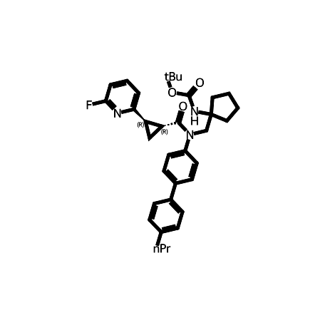 CCCc1ccc(-c2ccc(N(CC3(NC(=O)OC(C)(C)C)CCCC3)C(=O)[C@@H]3C[C@H]3c3cccc(F)n3)cc2)cc1